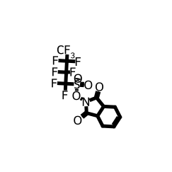 O=C1C2CC=CCC2C(=O)N1OS(=O)(=O)C(F)(F)C(F)(F)C(F)(F)C(F)(F)F